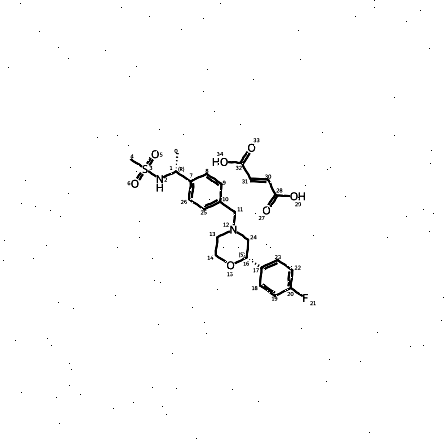 C[C@@H](NS(C)(=O)=O)c1ccc(CN2CCO[C@@H](c3ccc(F)cc3)C2)cc1.O=C(O)C=CC(=O)O